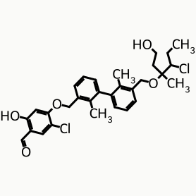 CCC(Cl)C(C)(CCO)OCc1cccc(-c2cccc(COc3cc(O)c(C=O)cc3Cl)c2C)c1C